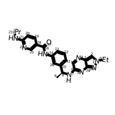 CCn1cc2ncc(N[C@@H](C)c3cccc(NC(=O)c4ccc(NC(C)C)nc4)c3)nc2n1